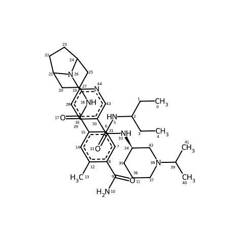 CCC(CC)Nc1cc(C(N)=O)c(C)cc1C(=O)NC1CC2CCC(C1)N2c1ccc(C(=O)N[C@@H]2CCCN(C(C)C)C2)cn1